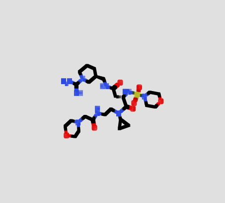 N=C(N)N1CCC[C@@H](CNC(=O)C[C@H](NS(=O)(=O)N2CCOCC2)C(=O)N(CCNC(=O)CN2CCOCC2)C2CC2)C1